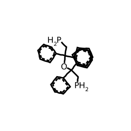 PCC(OC(CP)(c1ccccc1)c1ccccc1)(c1ccccc1)c1ccccc1